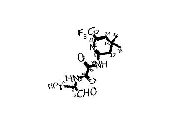 CCCC(C=O)NC(=O)C(=O)NC1=NC(C(F)(F)F)=CC(C)(C)C1